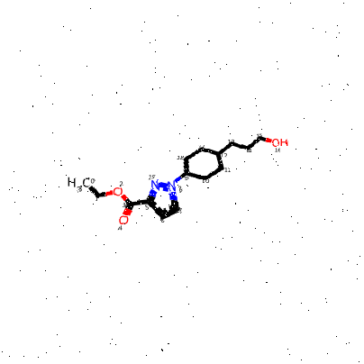 CCOC(=O)c1ccn(C2CCC(CCCO)CC2)n1